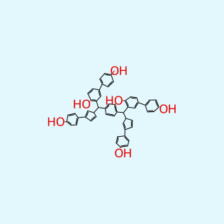 Oc1ccc(C2=CC(C(c3ccc(C(c4cc(-c5ccc(O)cc5)ccc4O)C4C=CC(c5ccc(O)cc5)=C4)cc3)c3cc(-c4ccc(O)cc4)ccc3O)C=C2)cc1